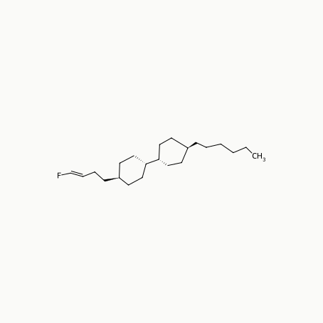 CCCCCC[C@H]1CC[C@H]([C@H]2CC[C@H](CCC=CF)CC2)CC1